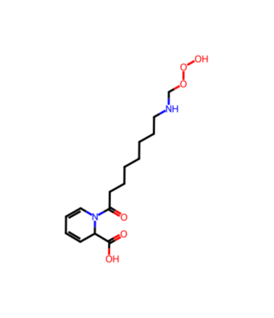 O=C(O)C1C=CC=CN1C(=O)CCCCCCCNCOOO